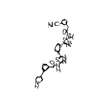 N#Cc1cccc(CC(=O)Nc2nnc([C@H]3CCC[C@H](c4nnc(NC(=O)Cc5cccc(C6CCNCC6)c5)s4)C3)s2)c1